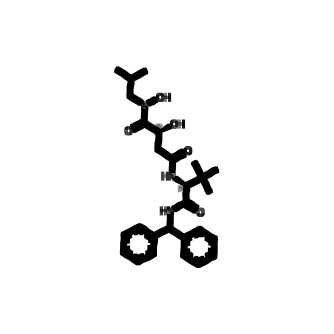 CC(C)CN(O)C(=O)[C@@H](O)CC(=O)N[C@H](C(=O)NC(c1ccccc1)c1ccccc1)C(C)(C)C